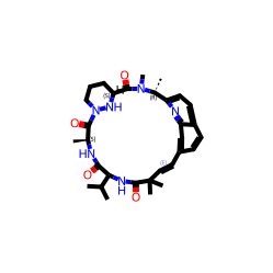 CC(C)C1NC(=O)C(C)(C)/C=C/c2ccc3ccc(nc3c2)[C@@H](C)N(C)C(=O)[C@@H]2CCCN(N2)C(=O)[C@H](C)NC1=O